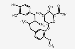 COc1ccc(CC(C)C(C)Cc2ccc(O)c(O)c2)cc1O[C@H]1C[C@@H](O)[C@H](O)[C@@H](C(=O)O)O1